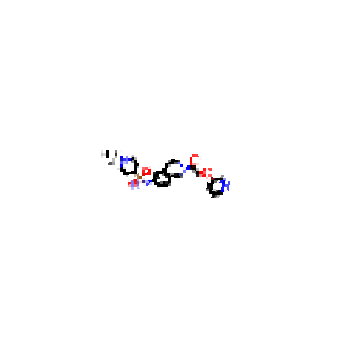 CN1CCC(S(=O)(=O)Nc2ccc3c(c2)CCN(C(=O)COc2cccnc2)C3)CC1